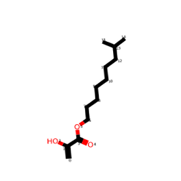 C=C(O)C(=O)OCCCCCCCC(C)C